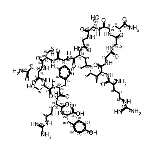 CCC(C)[C@H](NC(=O)C(N)CCCNC(=N)N)C(=O)NCC(=O)N[C@@H](C)C(=O)N[C@@H](CCC(N)=O)C(=O)N[C@@H](CO)C(=O)NCC(=O)N[C@@H](CC(C)C)C(=O)NCC(=O)N[C@@H](CS)C(=O)N[C@@H](CC(N)=O)C(=O)N[C@@H](CO)C(=O)N[C@@H](Cc1ccccc1)C(=O)N[C@@H](CCCNC(=N)N)C(=O)N[C@@H](Cc1ccc(O)cc1)C(=O)O